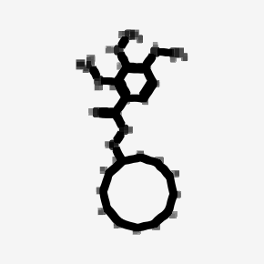 COc1ccc(C(=O)OO[C]2CCCCCCCCCCC2)c(OC)c1OC